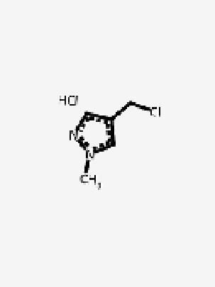 Cl.Cn1cc(CCl)cn1